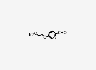 CCOCCOc1ccc(C=O)nc1